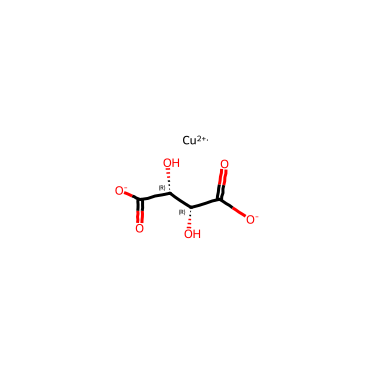 O=C([O-])[C@H](O)[C@@H](O)C(=O)[O-].[Cu+2]